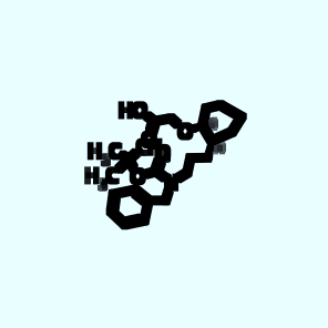 CC(C)(C)OC(=O)N(CCC[C@@H]1CCCC[C@@H]1OCC(=O)O)Cc1ccccc1